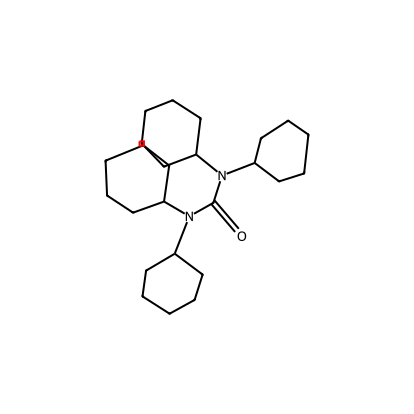 O=C(N(C1CCCCC1)C1CCCCC1)N(C1CCCCC1)C1CCCCC1